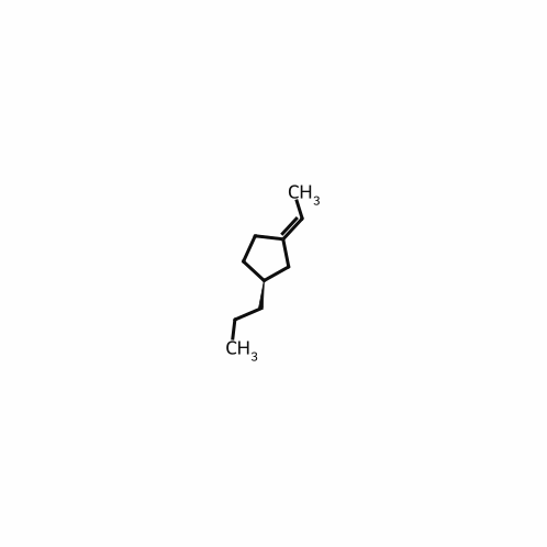 C/C=C1\CC[C@H](CCC)C1